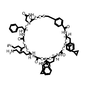 CC(C)CCC(=O)N1CC(=O)N[C@@H](Cc2ccccc2)CN(CC(N)=O)C(=O)CCSCc2ccc(cc2)C(=O)N[C@@H](Cc2ccccc2)CN(C(=O)CC2CC2)CC(=O)N[C@@H](Cc2c[nH]c3ccccc23)CN(C(=O)CC2CC2)CC(=O)N[C@@H](CCCCN)C1